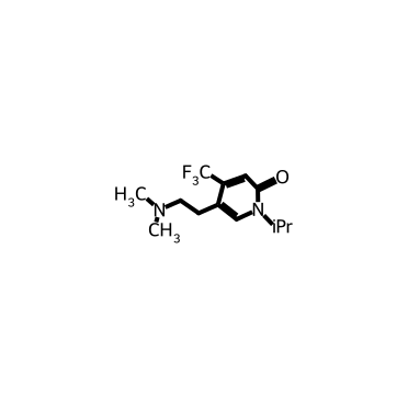 CC(C)n1cc(CCN(C)C)c(C(F)(F)F)cc1=O